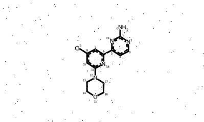 Nc1nccc(-c2cc(Cl)cc(N3CCOCC3)n2)n1